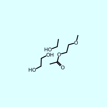 CCO.COCCOC(C)=O.OCCO